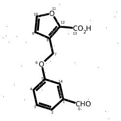 O=Cc1cccc(OCc2ccoc2C(=O)O)c1